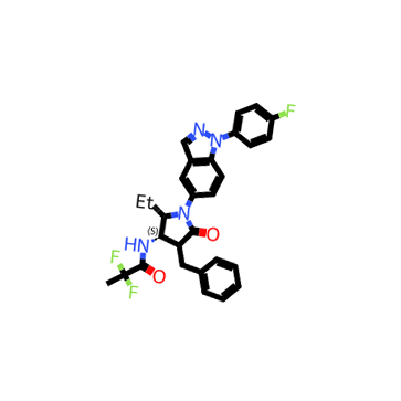 CCC1[C@@H](NC(=O)C(C)(F)F)C(Cc2ccccc2)C(=O)N1c1ccc2c(cnn2-c2ccc(F)cc2)c1